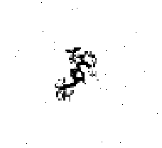 CC(C)n1nc(-c2ccc(CC(=O)O)c(F)c2)c2c(N)ncnc21